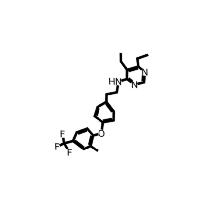 CCc1ncnc(NCCc2ccc(Oc3ccc(C(F)(F)F)cc3C)cc2)c1CC